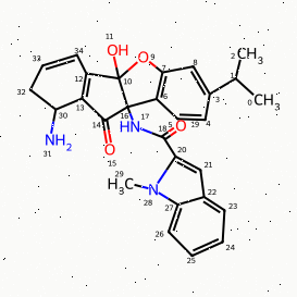 CC(C)c1ccc2c(c1)OC1(O)C3=C(C(=O)C21NC(=O)c1cc2ccccc2n1C)C(N)CC=C3